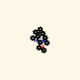 c1ccc2c(c1)-c1ccccc1C21c2ccccc2-c2cc3c(-c4cc(-c5cccc6c5oc5ccccc56)cc(-n5c6ccccc6c6ccccc65)c4)nc4ccccc4c3cc21